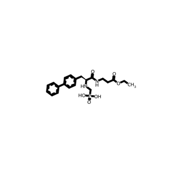 CCOC(=O)CCNC(=O)[C@H](Cc1ccc(-c2ccccc2)cc1)NCP(=O)(O)O